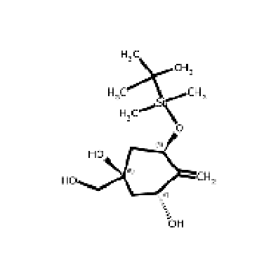 C=C1[C@H](O)C[C@](O)(CO)C[C@H]1O[Si](C)(C)C(C)(C)C